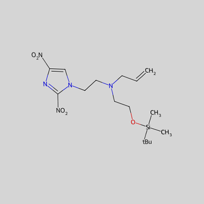 C=CCN(CCO[Si](C)(C)C(C)(C)C)CCn1cc([N+](=O)[O-])nc1[N+](=O)[O-]